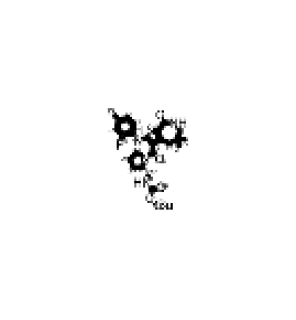 CC1(C)CNC(=O)c2sc(Nc3ccc(I)cc3F)c(C(=O)N3CCC[C@H]3CNC(=O)OC(C)(C)C)c2C1